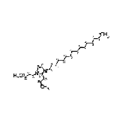 CCCCCCCCCCCCCCCC[n+]1ccn(CCCC)c1CCC